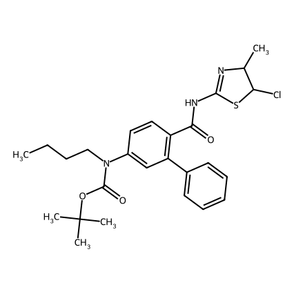 CCCCN(C(=O)OC(C)(C)C)c1ccc(C(=O)NC2=NC(C)C(Cl)S2)c(-c2ccccc2)c1